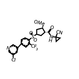 CO[C@@H]1CC(S(=O)(=O)c2ccc(-c3cncc(Cl)c3)cc2C(F)(F)F)C[C@H]1C(=O)NC1(C#N)CC1